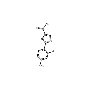 Cc1ccc(-c2nc(C(=O)O)cs2)c(F)c1